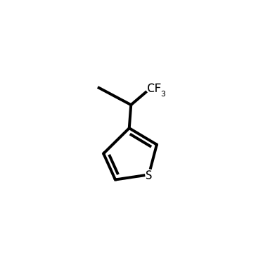 CC(c1ccsc1)C(F)(F)F